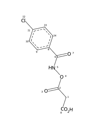 O=C(O)CC(=O)ONC(=O)c1ccc(Cl)cc1